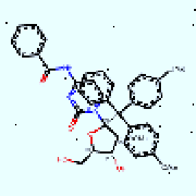 COc1ccc(C(c2ccccc2)(c2ccc(OC)cc2)[C@@]2(n3ccc(NC(=O)c4ccccc4)nc3=O)O[C@H](CO)[C@@H](O)[C@H]2OC)cc1